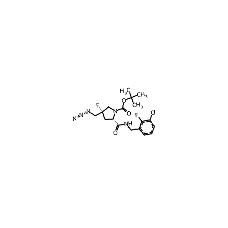 CC(C)(C)OC(=O)N1C[C@](F)(CN=[N+]=[N-])C[C@H]1C(=O)NCc1cccc(Cl)c1F